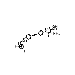 CC1(C)[C@H]2CC[C@@H](CNCc3ccc(C#Cc4ccc(C(=O)N[C@@H](CN)C(=O)NO)cc4)cc3)[C@@H]1C2